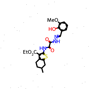 CCOC(=O)c1c(NC(=O)C(=O)N/N=C/c2cccc(OC)c2O)sc2c1CCC(C)C2